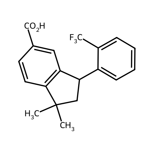 CC1(C)CC(c2ccccc2C(F)(F)F)c2cc(C(=O)O)ccc21